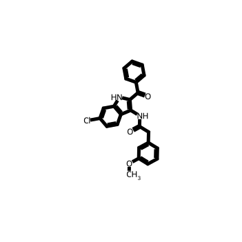 COc1cccc(CC(=O)Nc2c(C(=O)c3ccccc3)[nH]c3cc(Cl)ccc23)c1